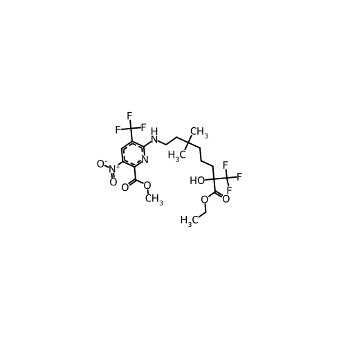 CCOC(=O)C(O)(CCCC(C)(C)CCNc1nc(C(=O)OC)c([N+](=O)[O-])cc1C(F)(F)F)C(F)(F)F